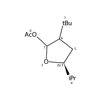 CC(=O)OC1O[C@H](C(C)C)CC1C(C)(C)C